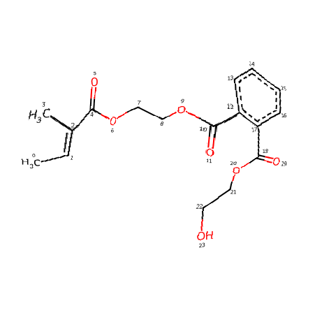 CC=C(C)C(=O)OCCOC(=O)c1ccccc1C(=O)OCCO